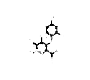 Cc1c(Nc2ccc(I)cc2Cl)c(C(N)=O)nn(C)c1=O